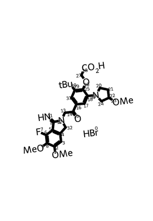 Br.COc1cc2c(c(F)c1OC)C(=N)N(CC(=O)c1cc(N3CCC(OC)C3)c(OCC(=O)O)c(C(C)(C)C)c1)C2